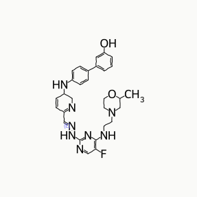 CC1CN(CCNc2nc(N/N=C/C3=NCC(Nc4ccc(-c5cccc(O)c5)cc4)C=C3)ncc2F)CCO1